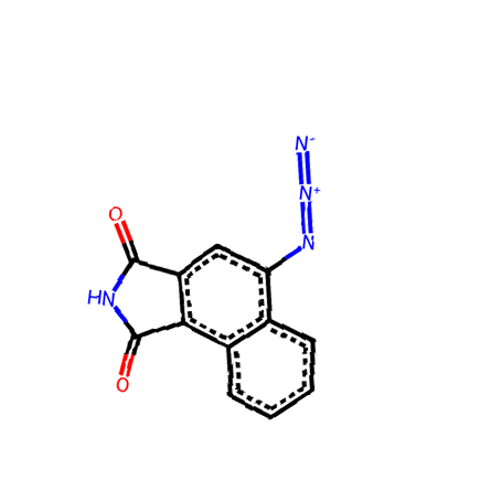 [N-]=[N+]=Nc1cc2c(c3ccccc13)C(=O)NC2=O